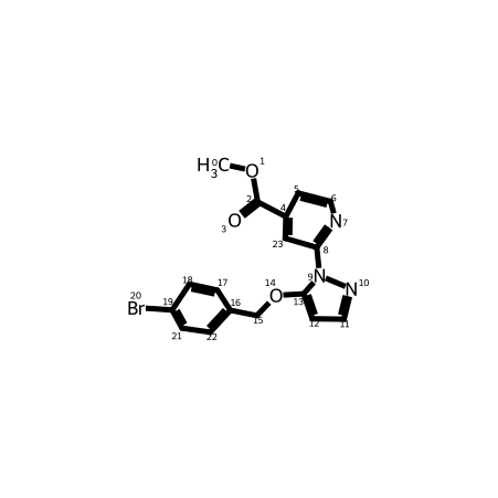 COC(=O)c1ccnc(-n2nccc2OCc2ccc(Br)cc2)c1